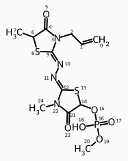 C=CCN1C(=O)C(C)SC1=NN=C1SC(OP(=O)(O)OC)C(=O)N1C